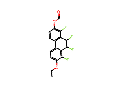 CCOc1ccc2c(c1F)C(F)C(F)c1c-2ccc(OC=O)c1F